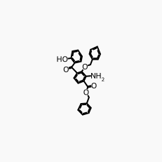 Nc1c(C(=O)OCc2ccccc2)ccc(C(=O)c2ccccc2O)c1OCc1ccccc1